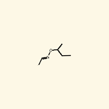 [CH2]C=NOC(C)CC